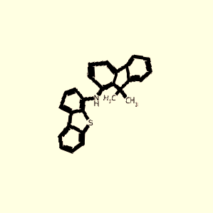 CC1(C)c2ccccc2-c2cccc(Nc3cccc4c3sc3ccccc34)c21